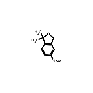 CNc1ccc2c(c1)COC2(C)C